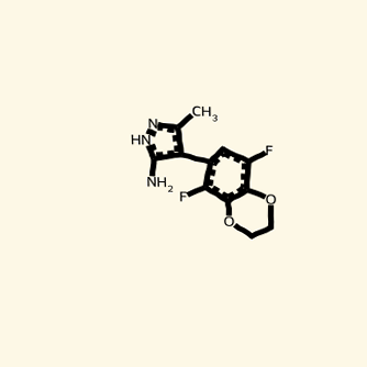 Cc1n[nH]c(N)c1-c1cc(F)c2c(c1F)OCCO2